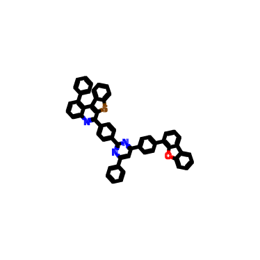 c1ccc(-c2cc(-c3ccc(-c4cccc5c4oc4ccccc45)cc3)nc(-c3ccc(-c4nc5cccc(-c6ccccc6)c5c5c4sc4ccccc45)cc3)n2)cc1